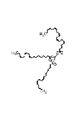 CC/C=C\C/C=C\C/C=C\C/C=C\C/C=C\CCCC(=O)OC[C@@H](COC(=O)CCCCCCC/C=C\C/C=C\CCCC)OC(=O)CCCCCCC/C=C\C/C=C\C/C=C\CC